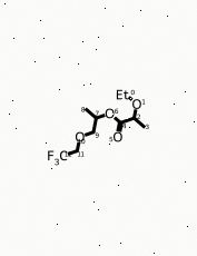 CCOC(C)C(=O)OC(C)COCC(F)(F)F